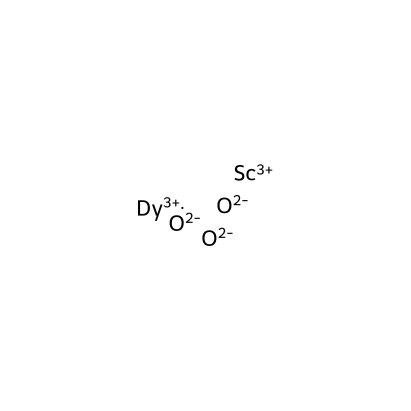 [Dy+3].[O-2].[O-2].[O-2].[Sc+3]